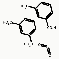 O=C(O)c1cccc(C(=O)O)c1.O=C(O)c1cccc(C(=O)O)c1.O=S=O